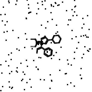 CC=C(c1ccccc1)S1(N(CC)CC)C=CC(C2CCCCC2)=C1